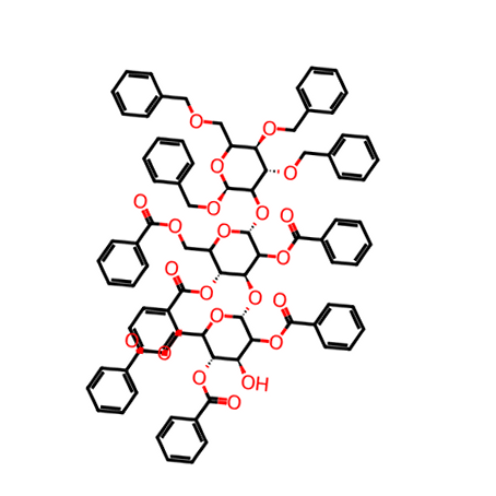 O=C(OCC1O[C@H](O[C@@H]2C(OC(=O)c3ccccc3)[C@@H](OC3[C@@H](OCc4ccccc4)OC(COCc4ccccc4)[C@@H](OCc4ccccc4)[C@@H]3OCc3ccccc3)OC(COC(=O)c3ccccc3)[C@H]2OC(=O)c2ccccc2)C(OC(=O)c2ccccc2)[C@@H](O)[C@@H]1OC(=O)c1ccccc1)c1ccccc1